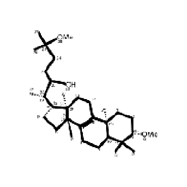 CO[C@H]1CC[C@]2(C)C3=C(CCC2C1(C)C)[C@]1(C)CC[C@H]([C@H](C)C(O)CCC(C)(C)OC)[C@@]1(C)CC3